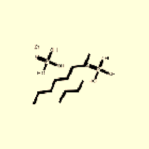 CCCC.CCCCCCCC.OP(O)(O)=S.OP(O)(O)=S.[Zn]